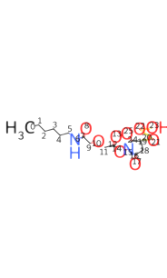 CCCCCCNC(=O)COCC(=O)ON1C(=O)CC(S(=O)(=O)O)C1=O